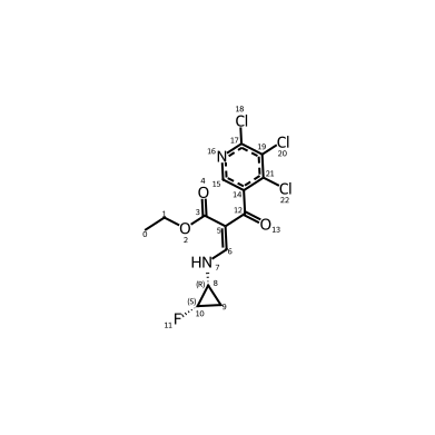 CCOC(=O)C(=CN[C@@H]1C[C@@H]1F)C(=O)c1cnc(Cl)c(Cl)c1Cl